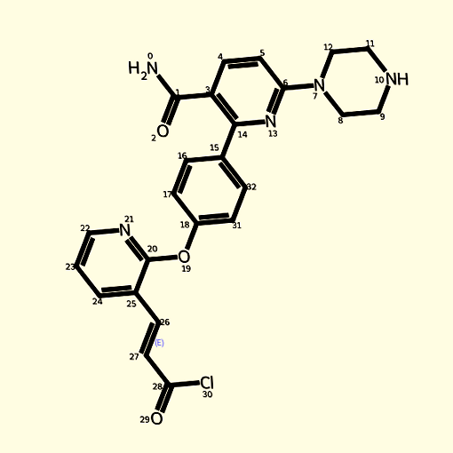 NC(=O)c1ccc(N2CCNCC2)nc1-c1ccc(Oc2ncccc2/C=C/C(=O)Cl)cc1